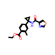 CCOC(=O)c1ccc(C2(NC(=O)c3cscn3)CC2)cc1C